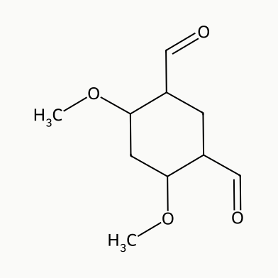 COC1CC(OC)C(C=O)CC1C=O